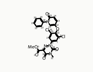 COC(=O)c1nn(-c2cc(Cl)c(Oc3ccc(=O)n(-c4ccccc4)c3)c(Cl)c2)c(=O)n(C)c1=O